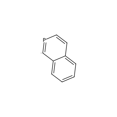 [c]1pccc2ccccc12